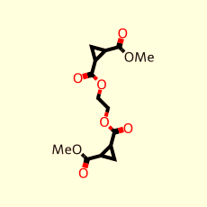 COC(=O)C1CC1C(=O)OCCOC(=O)C1CC1C(=O)OC